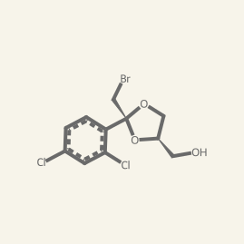 OC[C@@H]1CO[C@@](CBr)(c2ccc(Cl)cc2Cl)O1